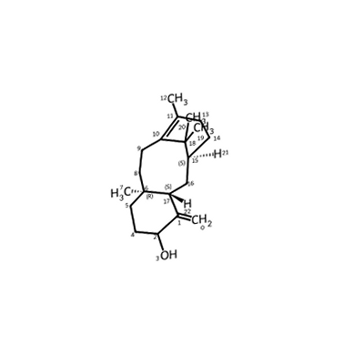 C=C1C(O)CC[C@@]2(C)CCC3=C(C)CC[C@@H](C[C@H]12)C3(C)C